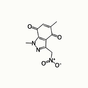 CC1=CC(=O)c2c(c(C[N+](=O)[O-])nn2C)C1=O